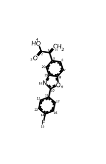 C=C(C(=O)O)c1ccc2oc(-c3ccc(F)cc3)nc2c1